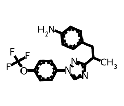 CC(Cc1ccc(N)cc1)c1ncn(-c2ccc(OC(F)(F)F)cc2)n1